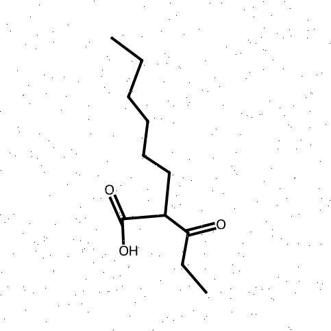 CCCCCCC(C(=O)O)C(=O)CC